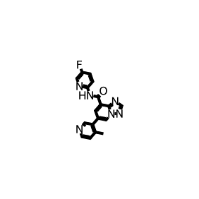 Cc1ccncc1-c1cc(C(=O)Nc2ccc(F)cn2)c2ncnn2c1